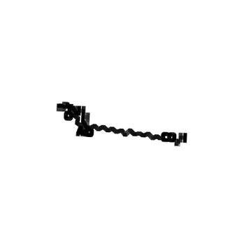 CCCNC(=O)CCC(NC(=O)CCCCCCCCCCCCCCCCC(=O)O)C(C)=O